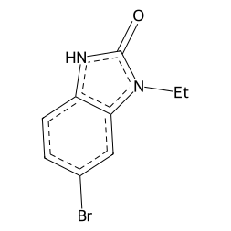 CCn1c(=O)[nH]c2ccc(Br)cc21